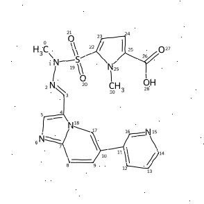 CN(N=Cc1cnc2ccc(-c3cccnc3)cn12)S(=O)(=O)c1ccc(C(=O)O)n1C